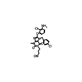 Cn1c(=O)n(CCCN=O)c(=O)c2c1nc(Oc1cccc(N)c1Cl)n2Cc1ccc(Cl)cc1